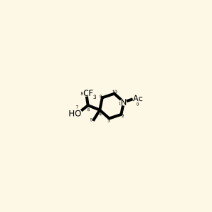 CC(=O)N1CCC(C)(C(O)C(F)(F)F)CC1